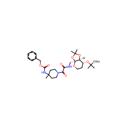 COC(C)(C)O[C@@H]1CCO[C@@]2(CNC(=O)C(=O)N3CCC(C)(NC(=O)OCc4ccccc4)CC3)OC(C)(C)O[C@@H]12